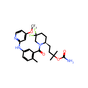 Cc1ccc(Nc2cc(OC(F)(F)F)ccn2)cc1C(=O)N1CC(F)(F)CC[C@H]1CCC(C)(C)OC(N)=O